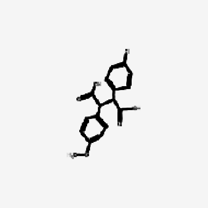 COc1ccc(C(C(=O)O)C(C(=O)O)c2ccc(Cl)cc2)cc1